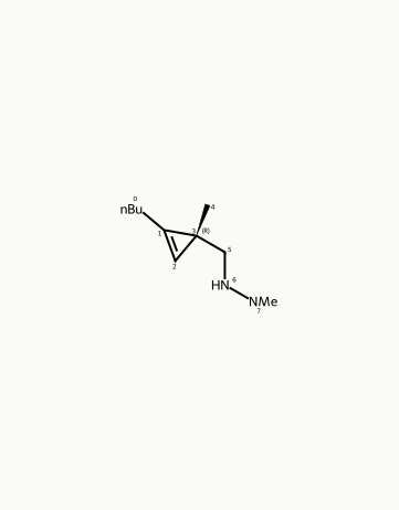 CCCCC1=C[C@@]1(C)CNNC